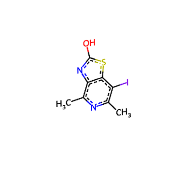 Cc1nc(C)c2nc(O)sc2c1I